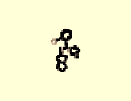 Clc1ccccc1C(=NN1CC2CCCC2C1)n1ccnc1